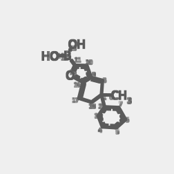 CC1(c2ccccc2)C=c2cc(B(O)O)oc2=CC1